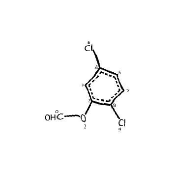 O=COc1cc(Cl)ccc1Cl